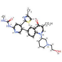 CCNC(=O)Nc1cc(-c2nc(C(F)(F)F)cs2)c(-c2ccc3c(c2)c(=O)c(C(=O)O)cn3[C@@H]2CCCN(CCO)C2)cn1